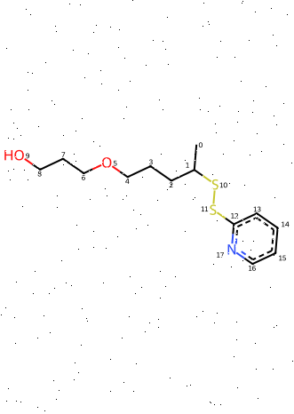 CC(CCCOCCCO)SSc1ccccn1